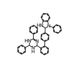 c1ccc(C2=NC(c3ccccc3-c3ccc(C4Nc5ccccc5N4c4ccccc4)cc3)NC(c3ccccc3)N2)cc1